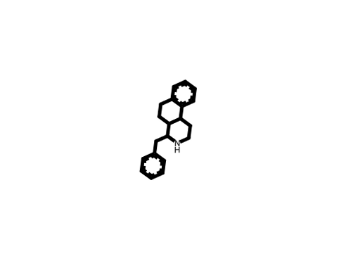 c1ccc(CC2NCCC3c4ccccc4CCC23)cc1